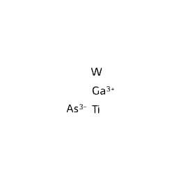 [As-3].[Ga+3].[Ti].[W]